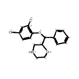 Clc1ccc(OC(c2ccccc2)C2CNCCO2)c(Cl)c1